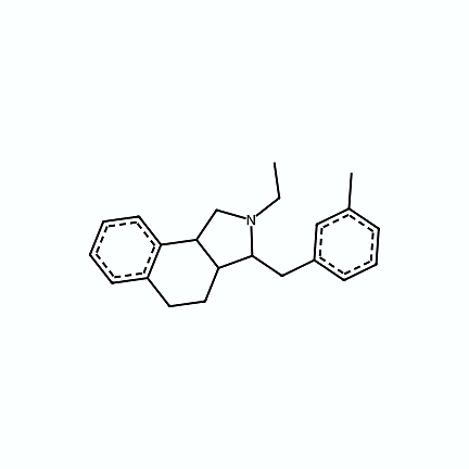 CCN1CC2c3ccccc3CCC2C1Cc1cccc(C)c1